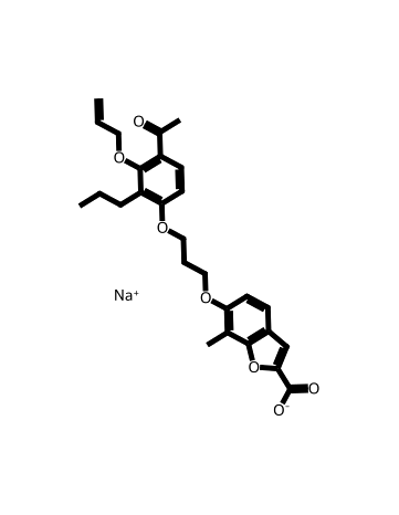 C=CCOc1c(C(C)=O)ccc(OCCCOc2ccc3cc(C(=O)[O-])oc3c2C)c1CCC.[Na+]